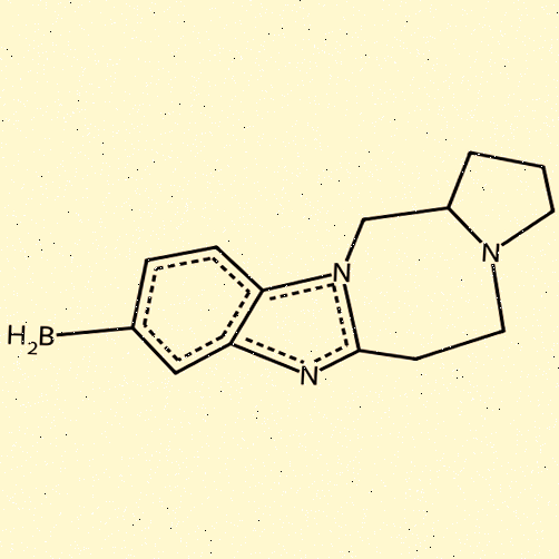 Bc1ccc2c(c1)nc1n2CC2CCCN2CC1